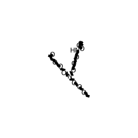 CCCOCCOCCOCCN(CCOCCOCCOCCNC(=O)OC(C)(C)C)CCOCCOCCOCCC(C)=O